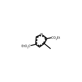 CCOC(=O)c1cnc(C(=O)OCC)c(C)c1